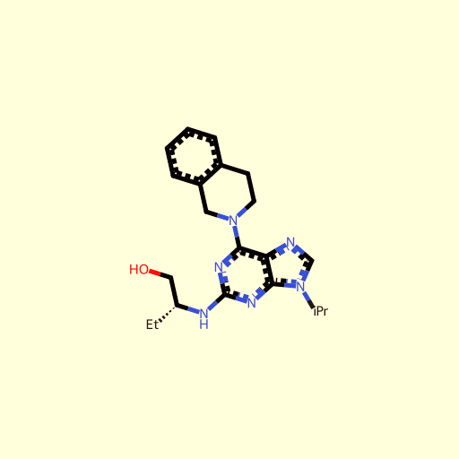 CC[C@H](CO)Nc1nc(N2CCc3ccccc3C2)c2ncn(C(C)C)c2n1